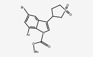 CC(=O)c1cc(Br)cc2c(C3CCS(=O)(=O)C3)cn(C(=O)OC(C)(C)C)c12